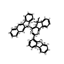 CC1(C)c2ccccc2-c2nc(-c3cccc4c3oc3ccccc34)nc(-n3c4ccccc4c4cc5ccccc5cc43)c21